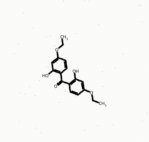 CCOc1ccc(C(=O)c2ccc(OCC)cc2O)c(O)c1